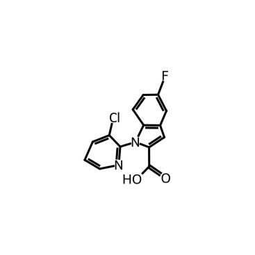 O=C(O)c1cc2cc(F)ccc2n1-c1ncccc1Cl